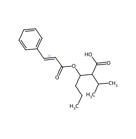 CCCC(OC(=O)/C=C/c1ccccc1)C(C(=O)O)C(C)C